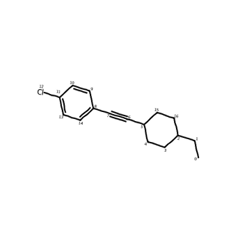 CCC1CCC(C#Cc2ccc(Cl)cc2)CC1